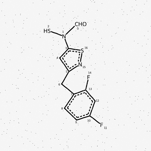 O=CN(S)c1cc(Cc2ccc(F)cc2F)ns1